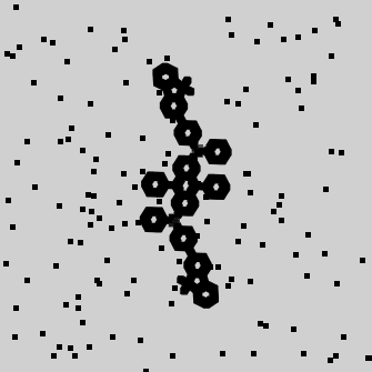 CC1(C)c2ccccc2-c2ccc(-c3ccc(N(c4ccccc4)c4ccc5c(-c6ccccc6)c6cc(N(c7ccccc7)c7ccc(-c8ccc9c(c8)C(C)(C)c8ccccc8-9)cc7)ccc6c(-c6ccccc6)c5c4)cc3)cc21